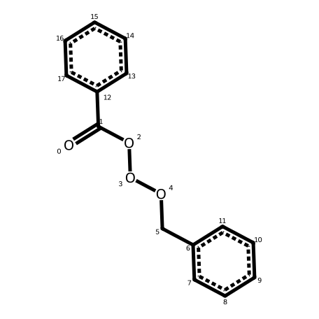 O=C(OOOCc1ccccc1)c1ccccc1